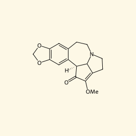 COC1=C2CCN3CCc4cc5c(cc4[C@H](C1=O)C23)OCO5